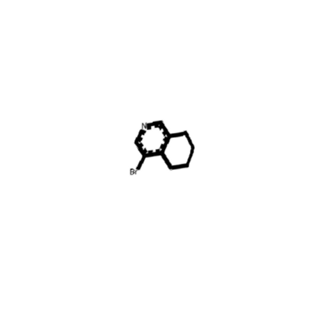 Brc1cncc2c1CCCC2